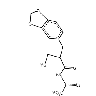 CC[C@H](NC(=O)C(CS)Cc1ccc2c(c1)OCO2)C(=O)O